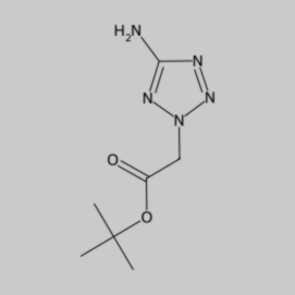 CC(C)(C)OC(=O)Cn1nnc(N)n1